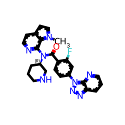 Cn1ccc2ccnc(N(C(=O)c3ccc(-n4nnc5cccnc54)cc3F)[C@@H]3CCCNC3)c21